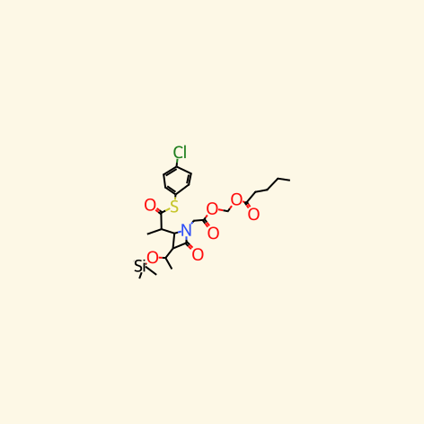 CCCCC(=O)OCOC(=O)CN1C(=O)C(C(C)O[Si](C)(C)C)C1C(C)C(=O)Sc1ccc(Cl)cc1